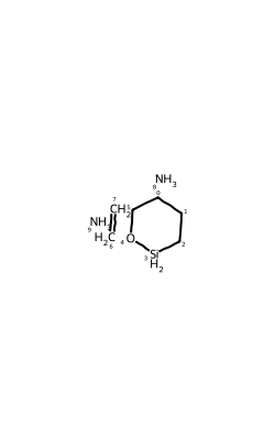 C1CC[SiH2]OC1.C=C.N.N